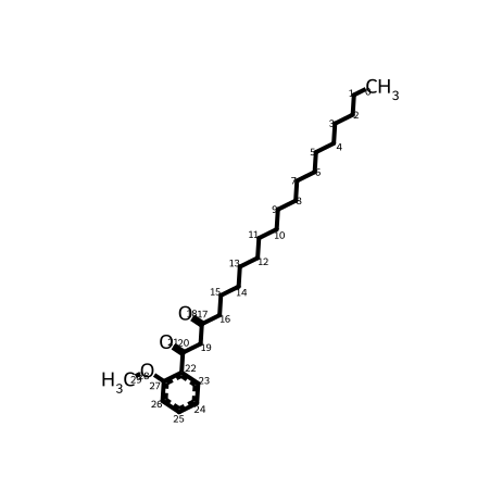 CCCCCCCCCCCCCCCCCC(=O)CC(=O)c1ccccc1OC